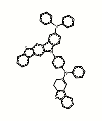 C1=C(N(c2ccccc2)c2ccc(-n3c4ccc(N(c5ccccc5)c5ccccc5)cc4c4cc5sc6ccccc6c5cc43)cc2)CCc2sc3ccccc3c21